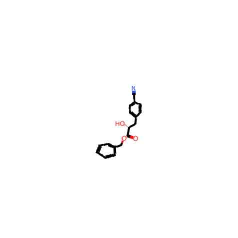 N#Cc1ccc(C[C@@H](O)C(=O)OCc2ccccc2)cc1